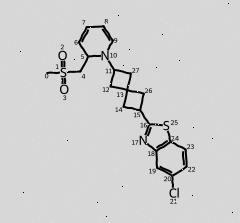 CS(=O)(=O)CC1C=CC=CN1C1CC2(CC(c3nc4cc(Cl)ccc4s3)C2)C1